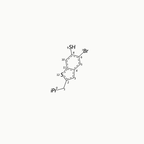 CC(C)Cc1cc2cc(Br)c(S)cc2s1